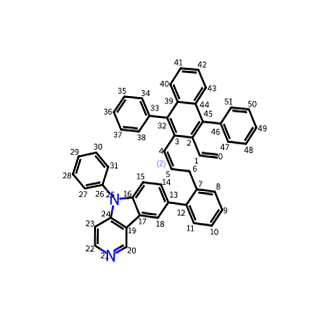 C=Cc1c(/C=C\Cc2ccccc2-c2ccc3c(c2)c2cnccc2n3-c2ccccc2)c(-c2ccccc2)c2ccccc2c1-c1ccccc1